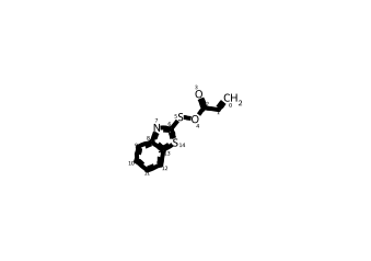 C=CC(=O)OSc1nc2ccccc2s1